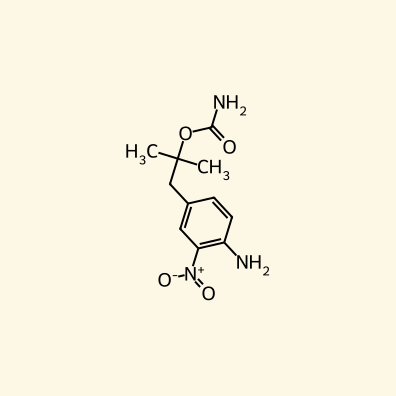 CC(C)(Cc1ccc(N)c([N+](=O)[O-])c1)OC(N)=O